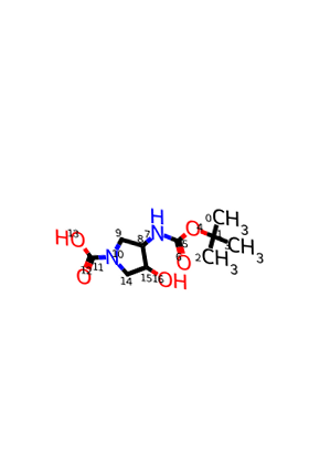 CC(C)(C)OC(=O)NC1CN(C(=O)O)CC1O